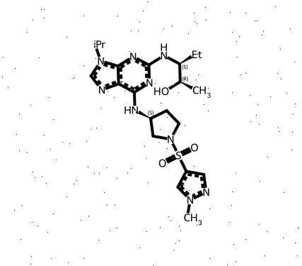 CC[C@H](Nc1nc(N[C@H]2CCN(S(=O)(=O)c3cnn(C)c3)C2)c2ncn(C(C)C)c2n1)[C@@H](C)O